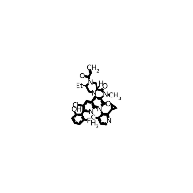 C=CC(=O)N1C[C@@H]2C(=O)N(C)c3c(c4cc(Cl)c(-c5c(O)cccc5F)nc4n(-c4c(C)ccnc4C4CC4)c3=O)N2C[C@H]1CC